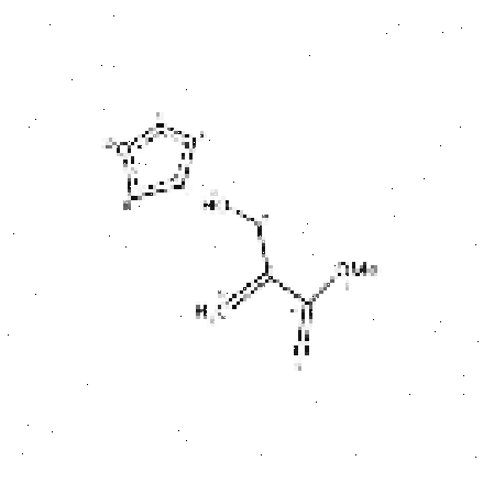 C=C(CO)C(=O)OC.c1ccoc1